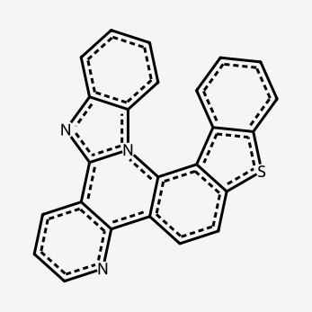 c1ccc2c(c1)nc1c3cccnc3c3ccc4sc5ccccc5c4c3n21